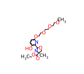 CCOC(=O)[C@@]1(C)COC(c2nc(OCCOCCOCCOC)ccc2O)=N1